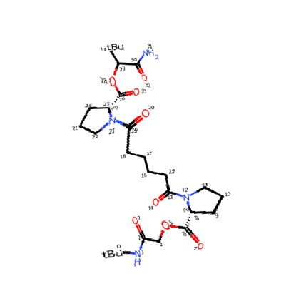 CC(C)(C)NC(=O)COC(=O)[C@H]1CCCN1C(=O)CCCCC(=O)N1CCC[C@@H]1C(=O)OC(C(N)=O)C(C)(C)C